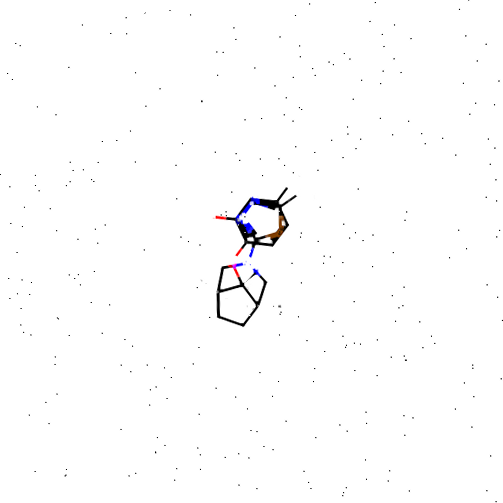 Cc1ccc(O[C@@H]2[C@@H]3CC[C@H]2CN(c2nnc(C(F)(F)F)s2)C3)c(O)c1